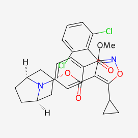 COC(=O)c1ccc(N2[C@@H]3CC[C@H]2C[C@H](OC(=O)c2c(-c4c(Cl)cccc4Cl)noc2C2CC2)C3)cc1